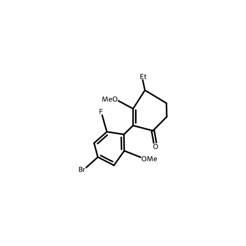 CCC1CCC(=O)C(c2c(F)cc(Br)cc2OC)=C1OC